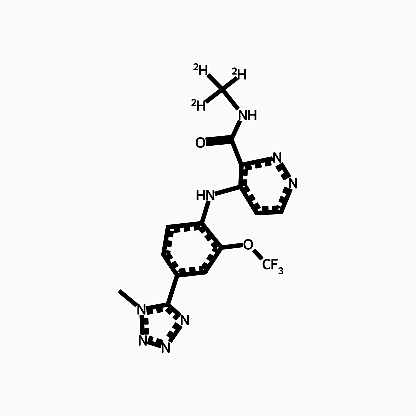 [2H]C([2H])([2H])NC(=O)c1nnccc1Nc1ccc(-c2nnnn2C)cc1OC(F)(F)F